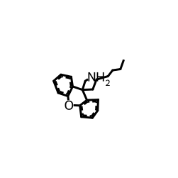 CCCCCCC1(CN)c2ccccc2Oc2ccccc21